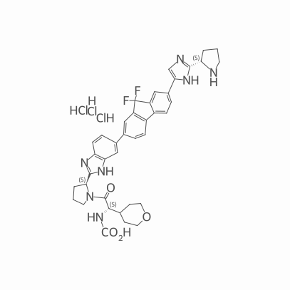 Cl.Cl.Cl.O=C(O)N[C@H](C(=O)N1CCC[C@H]1c1nc2ccc(-c3ccc4c(c3)C(F)(F)c3cc(-c5cnc([C@@H]6CCCN6)[nH]5)ccc3-4)cc2[nH]1)C1CCOCC1